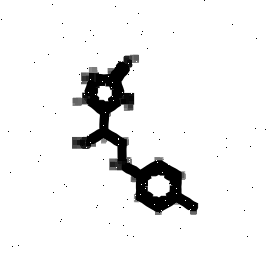 Cc1ccc(NCC(O)c2n[nH]c(=S)[nH]2)cc1